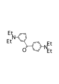 CCN(CC)c1ccc(C(=O)c2cccc(N(CC)CC)c2)cc1